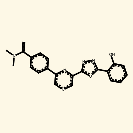 C=C(c1ccc(-c2cncc(-c3nnc(-c4ccccc4O)o3)n2)cc1)N(C)C